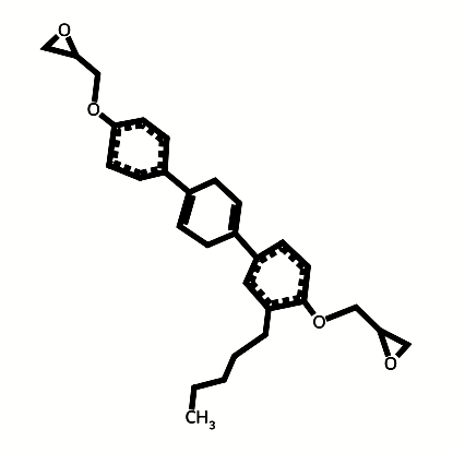 CCCCCc1cc(C2=CCC(c3ccc(OCC4CO4)cc3)=CC2)ccc1OCC1CO1